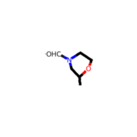 CC1CN([C]=O)CCO1